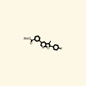 COC(=O)c1cccc(-c2cnc3oc(-c4ccc(F)cc4)c(C)c3c2)c1